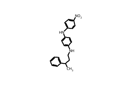 CC(CCNc1ccc(Nc2ccc([N+](=O)[O-])cc2)cc1)c1ccccc1